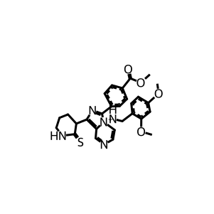 COC(=O)c1ccc(C2=NC(C3CCCNC3=S)=C3C=NC=C[N+]23NCc2ccc(OC)cc2OC)cc1